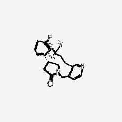 [2H]C([2H])(F)CCc1cnccc1CN1C[C@@H](c2cccc(F)c2)CC1=O